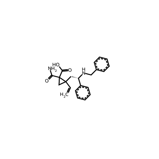 C=CC1(C[C@H](NCc2ccccc2)c2ccccc2)CC1(C(N)=O)C(=O)O